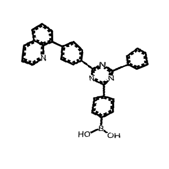 OB(O)c1ccc(-c2nc(-c3ccccc3)nc(-c3ccc(-c4cccc5cccnc45)cc3)n2)cc1